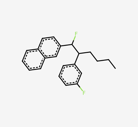 CCCCC(c1cccc(F)c1)C(F)c1ccc2ccccc2c1